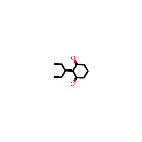 CCC(CC)=C1C(=O)CCCC1=O